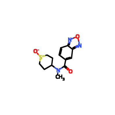 CN(C(=O)c1ccc2nonc2c1)C1CC[S+]([O-])CC1